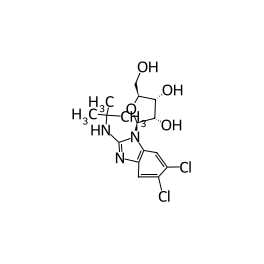 CC(C)(C)Nc1nc2cc(Cl)c(Cl)cc2n1[C@H]1O[C@@H](CO)[C@H](O)[C@@H]1O